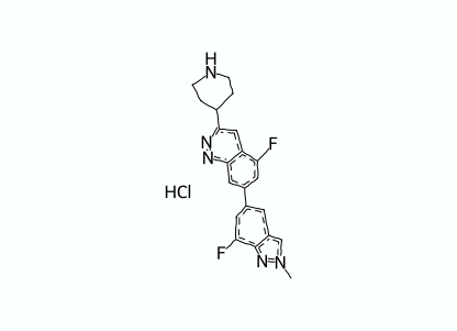 Cl.Cn1cc2cc(-c3cc(F)c4cc(C5CCNCC5)nnc4c3)cc(F)c2n1